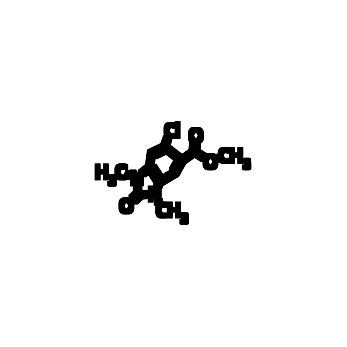 COC(=O)c1cc2c(cc1Cl)n(C)c(=O)n2C